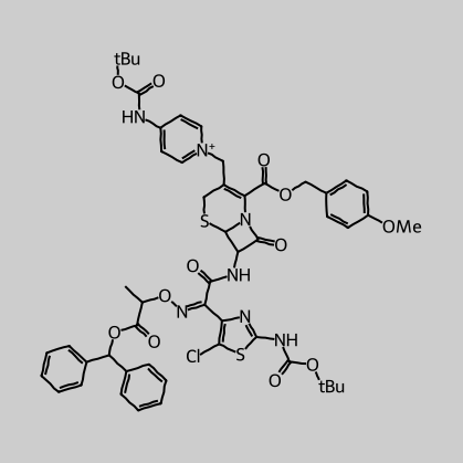 COc1ccc(COC(=O)C2=C(C[n+]3ccc(NC(=O)OC(C)(C)C)cc3)CSC3C(NC(=O)/C(=N\OC(C)C(=O)OC(c4ccccc4)c4ccccc4)c4nc(NC(=O)OC(C)(C)C)sc4Cl)C(=O)N23)cc1